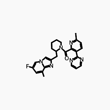 Cc1ccc(-c2ncccn2)c(C(=O)N2CCCCC2Cc2cn3cc(F)cc(C)c3n2)n1